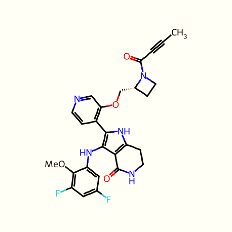 CC#CC(=O)N1CC[C@@H]1COc1cnccc1-c1[nH]c2c(c1Nc1cc(F)cc(F)c1OC)C(=O)NCC2